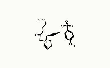 CCCCCCCCCCCCOC(=O)C[N+]1(CC#CI)C=CCC1.Cc1ccc(S(=O)(=O)[O-])cc1